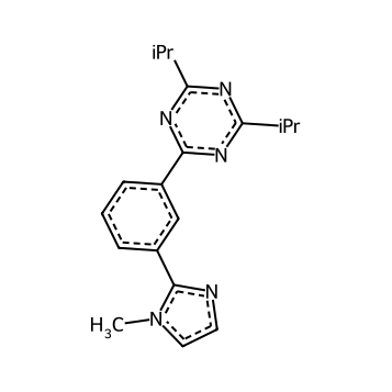 CC(C)c1nc(-c2cccc(-c3nccn3C)c2)nc(C(C)C)n1